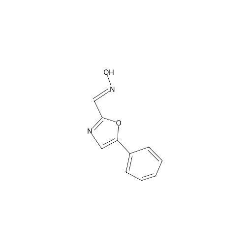 ON=Cc1ncc(-c2ccccc2)o1